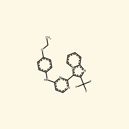 CCOc1ccc(Nc2ccnc(-c3c(C(F)(F)F)nc4ccccn34)n2)cc1